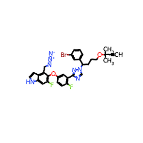 C#CC(C)(C)OCCCC(c1cccc(Br)c1)n1cnc(-c2cc(Oc3c(F)cc4[nH]ccc4c3CN=[N+]=[N-])ccc2F)n1